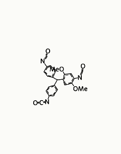 COc1cc(C(c2ccc(N=C=O)cc2)c2ccc(N=C=O)cc2)c(OC)cc1N=C=O